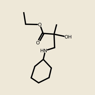 CCOC(=O)C(C)(O)CNC1CCCCC1